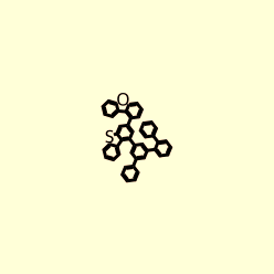 c1ccc(-c2cc(-c3ccccc3-c3ccccc3)cc(-c3cc(-c4cccc5oc6ccccc6c45)cc4sc5ccccc5c34)c2)cc1